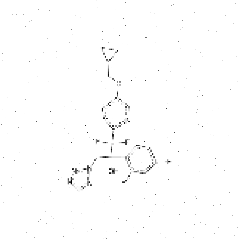 OC(Cn1ncnn1)(c1ccc(F)cc1F)C(F)(F)c1ccc(OCC2CC2)cn1